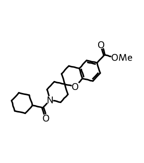 COC(=O)c1ccc2c(c1)CCC1(CCN(C(=O)C3CCCCC3)CC1)O2